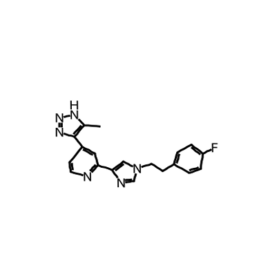 Cc1[nH]nnc1-c1ccnc(-c2cn(CCc3ccc(F)cc3)cn2)c1